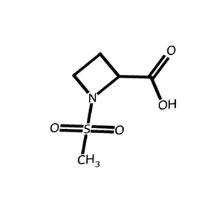 CS(=O)(=O)N1CCC1C(=O)O